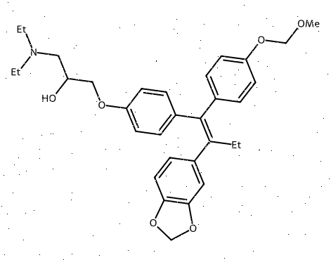 CCC(=C(c1ccc(OCOC)cc1)c1ccc(OCC(O)CN(CC)CC)cc1)c1ccc2c(c1)OCO2